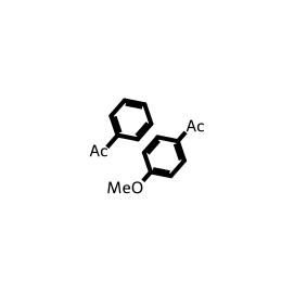 CC(=O)c1ccccc1.COc1ccc(C(C)=O)cc1